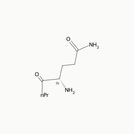 CCCC(=O)[C@@H](N)CCC(N)=O